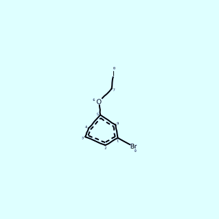 Brc1cccc(OCI)c1